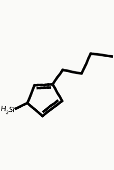 CCCCC1=CC([SiH3])C=C1